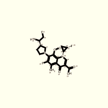 COc1c(N2CC[C@@H](C(N)CF)C2)c(F)c(N)c2c(=O)c(C(=O)O)cn([C@@H]3C[C@@H]3F)c12